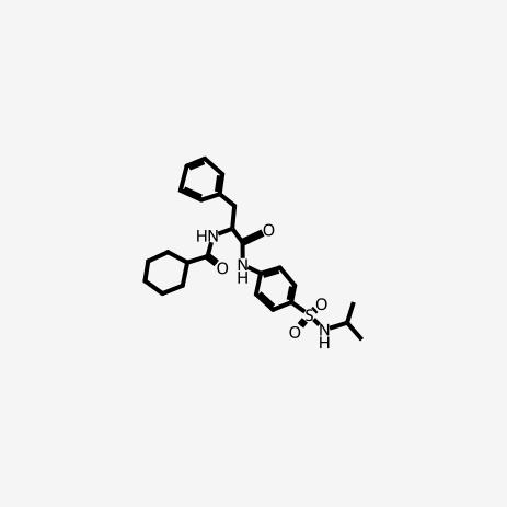 CC(C)NS(=O)(=O)c1ccc(NC(=O)C(Cc2ccccc2)NC(=O)C2CCCCC2)cc1